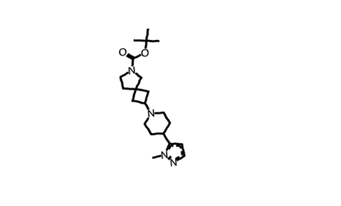 Cn1nccc1C1CCN(C2CC3(CCN(C(=O)OC(C)(C)C)C3)C2)CC1